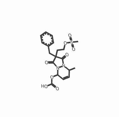 CC1C=CC(OC(=O)O)N2C(=O)C(CCOS(C)(=O)=O)(Cc3ccccc3)C(=O)N12